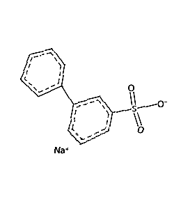 O=S(=O)([O-])c1cccc(-c2ccccc2)c1.[Na+]